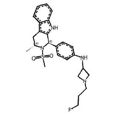 C[C@@H]1Cc2c([nH]c3ccccc23)[C@@H](c2ccc(NC3CN(CCCF)C3)cc2)N1S(C)(=O)=O